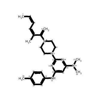 C=C(/C(C)=C\C=C/C)N1CCN(c2nc(Nc3ccc(C)cc3)cc(N(C)C)n2)CC1